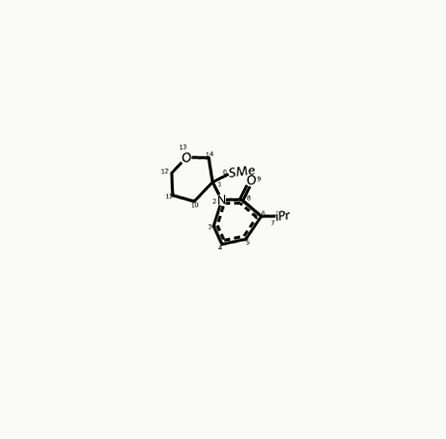 CSC1(n2cccc(C(C)C)c2=O)CCCOC1